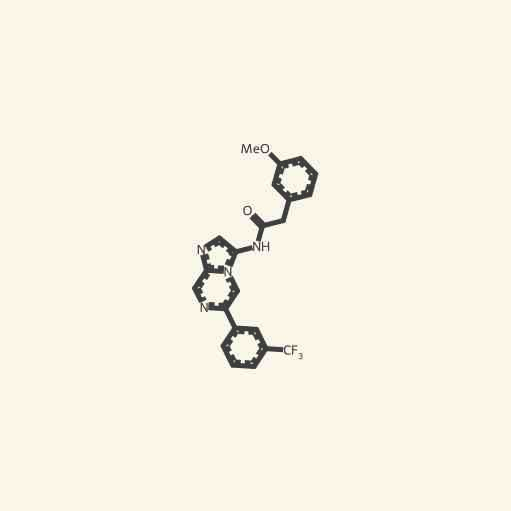 COc1cccc(CC(=O)Nc2cnc3cnc(-c4cccc(C(F)(F)F)c4)cn23)c1